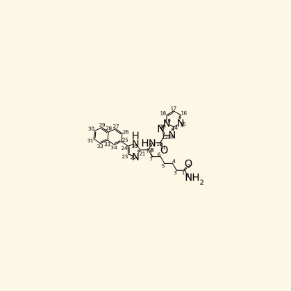 NC(=O)CCCCC[C@H](NC(=O)c1nc2ncccn2n1)c1ncc(-c2ccc3ccccc3c2)[nH]1